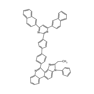 CCc1nc2c3c(-c4ccc(-c5ccc(-c6nc(-c7ccc8ccccc8c7)cc(-c7ccc8ccccc8c7)n6)cc5)cc4)nc4ccccc4c3ccc2n1-c1ccccc1